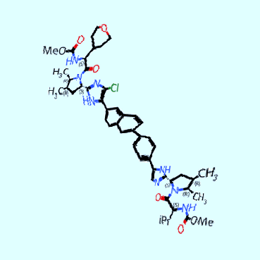 COC(=O)N[C@H](C(=O)N1[C@H](C)[C@H](C)C[C@H]1c1ncc(-c2ccc(-c3ccc4cc(-c5[nH]c([C@@H]6C[C@@H](C)[C@@H](C)N6C(=O)[C@@H](NC(=O)OC)C6CCOCC6)nc5Cl)ccc4c3)cc2)[nH]1)C(C)C